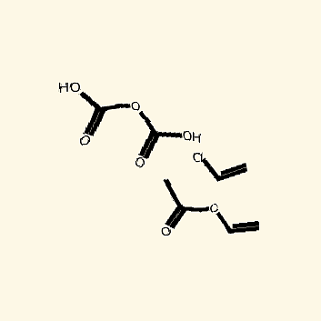 C=CCl.C=COC(C)=O.O=C(O)OC(=O)O